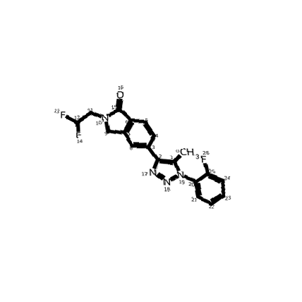 Cc1c(-c2ccc3c(c2)CN(CC(F)F)C3=O)nnn1-c1ccccc1F